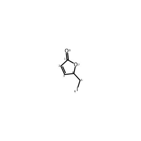 O=C1C=CC(CI)O1